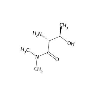 C[C@@H](O)[C@@H](N)C(=O)N(C)C